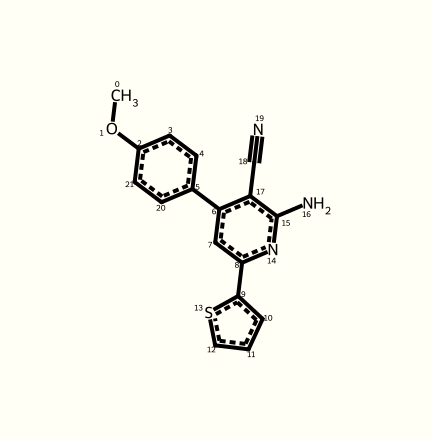 COc1ccc(-c2cc(-c3cccs3)nc(N)c2C#N)cc1